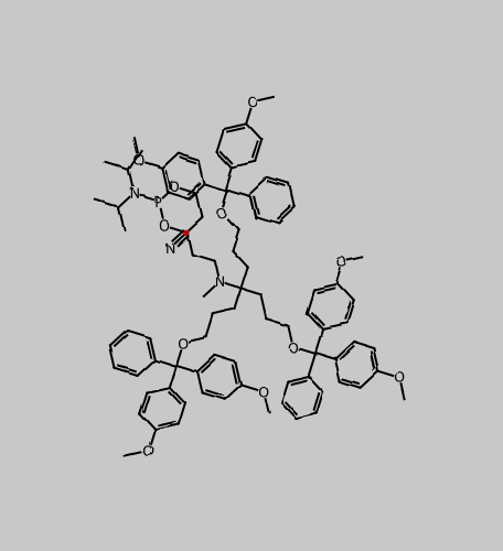 COc1ccc(C(OCCCC(CCCOC(c2ccccc2)(c2ccc(OC)cc2)c2ccc(OC)cc2)(CCCOC(c2ccccc2)(c2ccc(OC)cc2)c2ccc(OC)cc2)N(C)CCCOP(OCCC#N)N(C(C)C)C(C)C)(c2ccccc2)c2ccc(OC)cc2)cc1